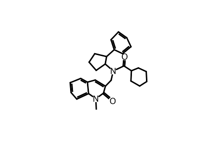 Cn1c(=O)c(CN(C(=O)C2CCCCC2)C2CCCC2c2ccccc2)cc2ccccc21